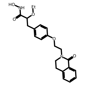 CCOC(Cc1ccc(OCCN2CCc3ccccc3C2=O)cc1)C(=O)NO